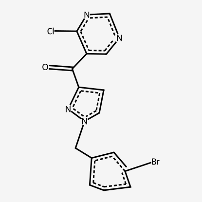 O=C(c1ccn(Cc2cccc(Br)c2)n1)c1cncnc1Cl